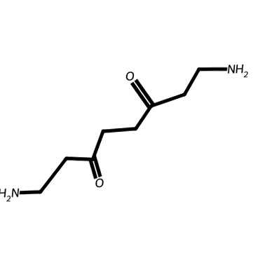 NCCC(=O)CCC(=O)CCN